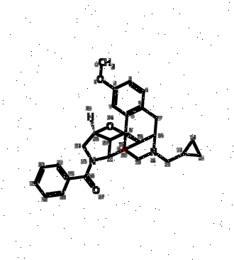 COc1ccc2c(c1)C13CCN(CC4CC4)C(C2)C12CCC1C3[C@@H](CN1C(=O)c1ccccc1)O2